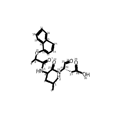 CC(C)CC(NC(=O)C(C)Oc1cccc2ccccc12)C(=O)N[C@H](C=O)CC(=O)O